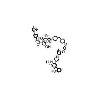 CC(C)[C@@H](C(=O)N1C[C@H](O)C[C@H]1C(=O)N[C@@H](C)c1ccc(-c2ccnn2C)cc1)c1cc(N2CCC(CN3CCC(O[C@H]4C[C@H](Oc5cc(N6CCN(c7cc(-c8ccccc8O)nnc7N)CC6)ccn5)C4)CC3)CC2)no1